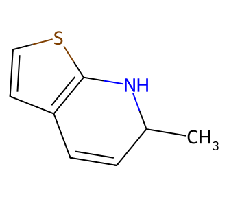 CC1C=Cc2ccsc2N1